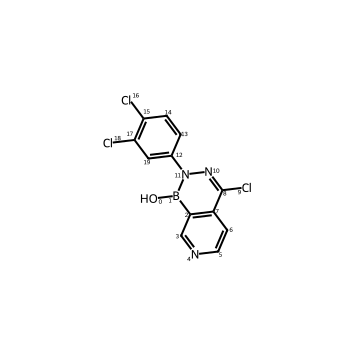 OB1c2cnccc2C(Cl)=NN1c1ccc(Cl)c(Cl)c1